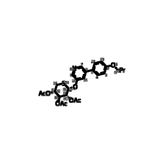 CCCOc1ccc(-c2cncc(O[C@H]3SC[C@@H](OC(C)=O)[C@H](OC(C)=O)[C@H]3OC(C)=O)c2)cc1